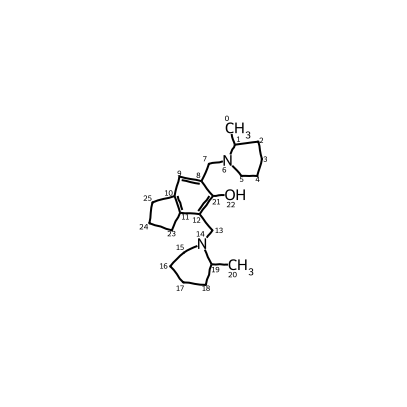 CC1CCCCN1Cc1cc2c(c(CN3CCCCC3C)c1O)CCC2